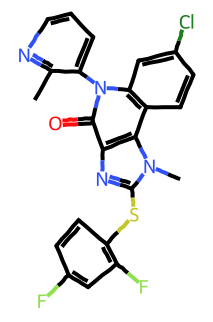 Cc1ncccc1-n1c(=O)c2nc(Sc3ccc(F)cc3F)n(C)c2c2ccc(Cl)cc21